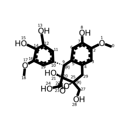 COc1cc2c(cc1O)[C@@H](c1cc(O)c(O)c(OC)c1)[C@@](O)(C(=O)O)[C@](O)(CO)C2